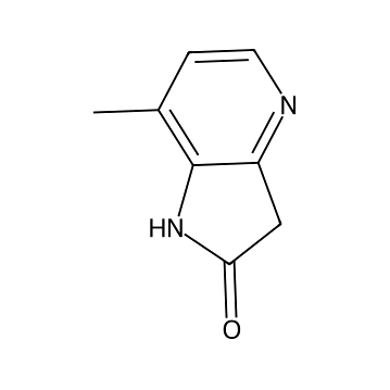 Cc1ccnc2c1NC(=O)C2